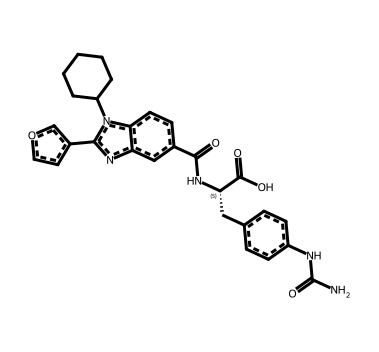 NC(=O)Nc1ccc(C[C@H](NC(=O)c2ccc3c(c2)nc(-c2ccoc2)n3C2CCCCC2)C(=O)O)cc1